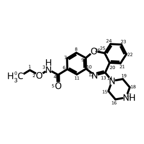 CCONC(=O)c1ccc2c(c1)N=C(N1CCNCC1)c1ccccc1O2